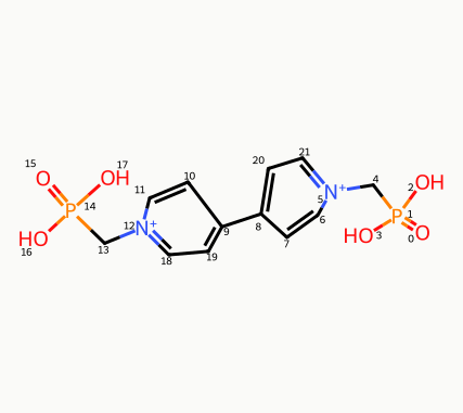 O=P(O)(O)C[n+]1ccc(-c2cc[n+](CP(=O)(O)O)cc2)cc1